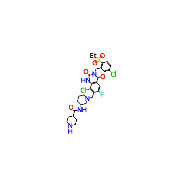 CCS(=O)(=O)c1ccc(Cl)cc1Cn1c(=O)[nH]c2c(Cl)c(CN3CCC[C@@H](NC(=O)C4CCNCC4)C3)c(F)cc2c1=O